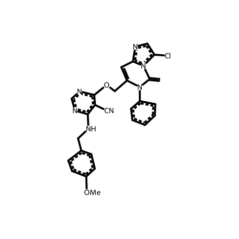 C=C1N(c2ccccc2)C(COc2ncnc(NCc3ccc(OC)cc3)c2C#N)=Cc2ncc(Cl)n21